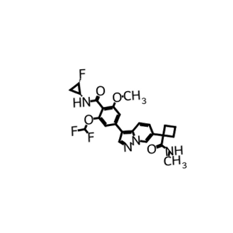 CNC(=O)C1(c2ccc3c(-c4cc(OC)c(C(=O)N[C@@H]5C[C@@H]5F)c(OC(F)F)c4)cnn3c2)CCC1